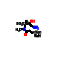 CC(O)CN.CCCCCCCCCCCC(=O)N(C)CC(=O)O.[NaH]